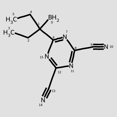 BC(CC)(CC)c1nc(C#N)nc(C#N)n1